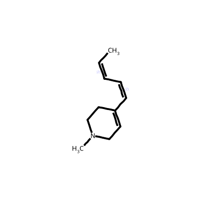 C/C=C\C=C/C1=CCN(C)CC1